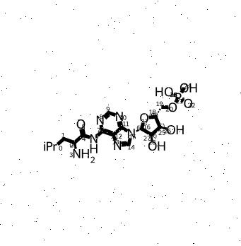 CC(C)C[C@H](N)C(=O)Nc1ncnc2c1ncn2[C@@H]1O[C@H](COP(=O)(O)O)[C@@H](O)[C@H]1O